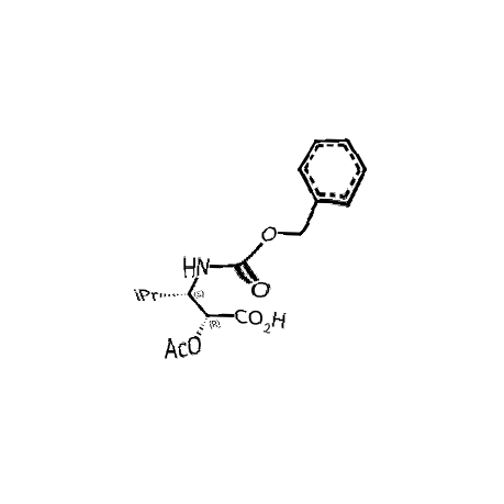 CC(=O)O[C@@H](C(=O)O)[C@@H](NC(=O)OCc1ccccc1)C(C)C